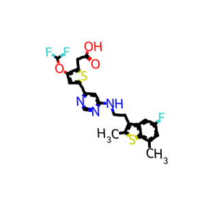 Cc1sc2c(C)cc(F)cc2c1CCNc1cc(-c2cc(OC(F)F)c(CC(=O)O)s2)ncn1